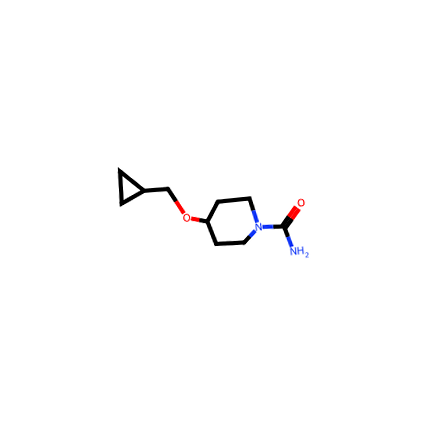 NC(=O)N1CCC(OCC2CC2)CC1